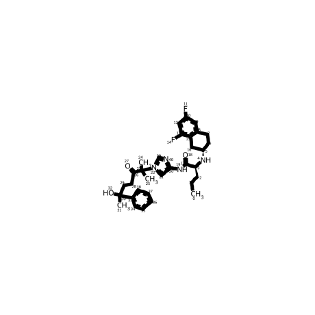 CCC[C@H](N[C@H]1CCc2cc(F)cc(F)c2C1)C(=O)Nc1cn(C(C)(C)C(=O)CCC(C)(O)c2ccccc2)cn1